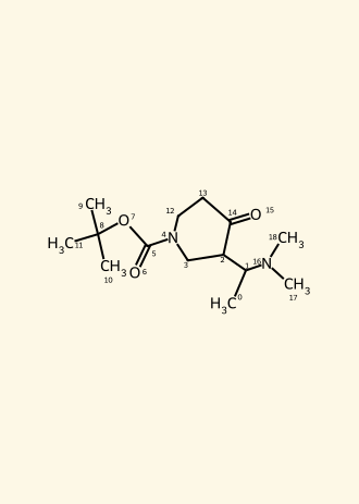 CC(C1CN(C(=O)OC(C)(C)C)CCC1=O)N(C)C